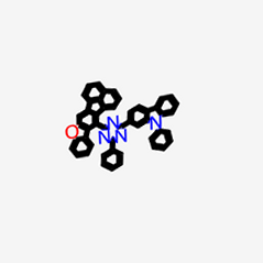 c1ccc(-c2nc(-c3ccc4c5ccccc5n(-c5ccccc5)c4c3)nc(-c3c4c(cc5oc6ccccc6c35)-c3cccc5cccc-4c35)n2)cc1